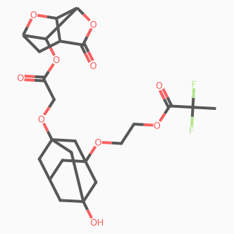 CC(F)(F)C(=O)OCCOC12CC3CC(O)(C1)CC(OCC(=O)OC1C4CC5C(=O)OC1C5O4)(C3)C2